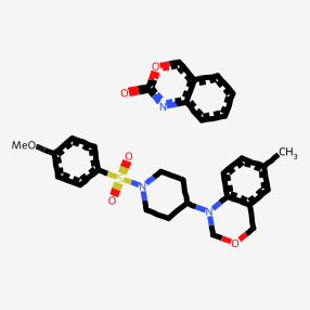 COc1ccc(S(=O)(=O)N2CCC(N3COCc4cc(C)ccc43)CC2)cc1.O=c1nc2ccccc2co1